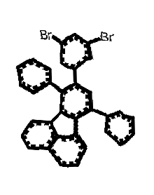 Brc1cc(Br)cc(-c2cc(-c3ccccc3)c3c(c2-c2ccccc2)-c2cccc4cccc-3c24)c1